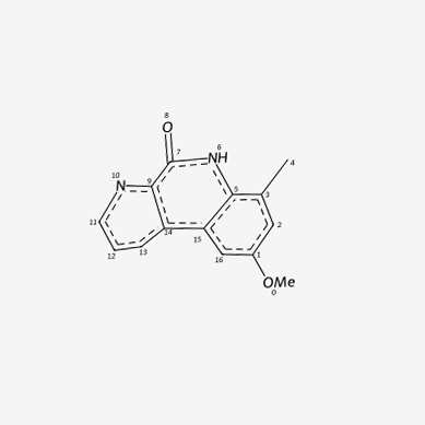 COc1cc(C)c2[nH]c(=O)c3ncccc3c2c1